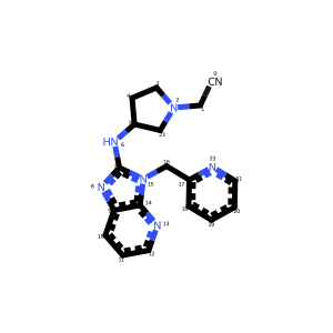 N#CCN1CCC(Nc2nc3cccnc3n2Cc2ccccn2)C1